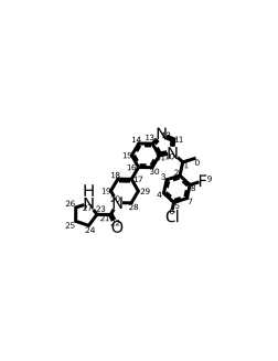 CC(c1ccc(Cl)cc1F)n1cnc2ccc(C3=CCN(C(=O)C4CCCN4)CC3)cc21